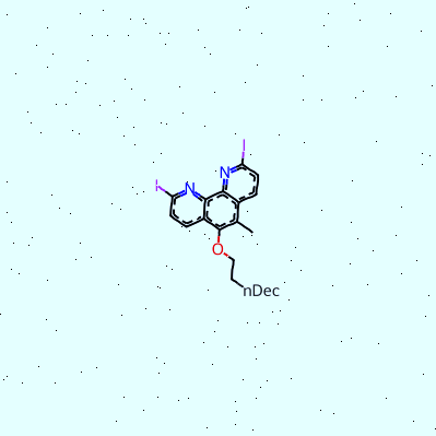 CCCCCCCCCCCCOc1c(C)c2ccc(I)nc2c2nc(I)ccc12